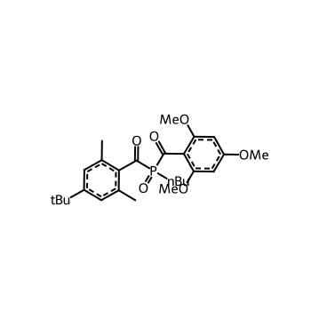 CCCCP(=O)(C(=O)c1c(C)cc(C(C)(C)C)cc1C)C(=O)c1c(OC)cc(OC)cc1OC